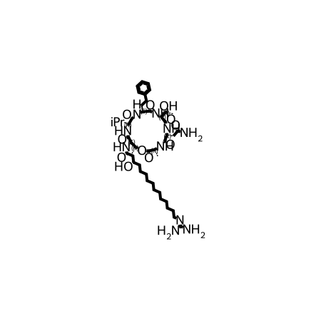 CC(C)[C@H]1NC(=O)[C@@H](NC(=O)CC(O)CCCCCCCCCCCCN=C(N)N)[C@@H](C)OC(=O)[C@@H](C)NC(=O)[C@@H](CC(N)=O)NC(=O)[C@@H]([C@@H](C)O)NC(=O)[C@H](CCc2ccccc2)NC1=O